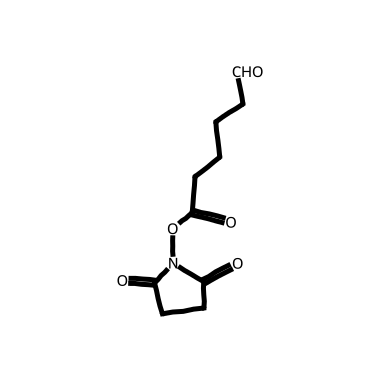 O=CCCCCC(=O)ON1C(=O)CCC1=O